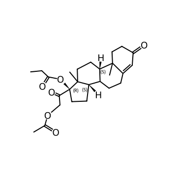 CCC(=O)O[C@]1(C(=O)COC(C)=O)CC[C@H]2C3CCC4=CC(=O)CCC4(C)[C@H]3CCC21C